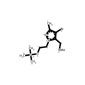 CNCc1c(Br)c(C)nn1CCO[Si](C)(C)C